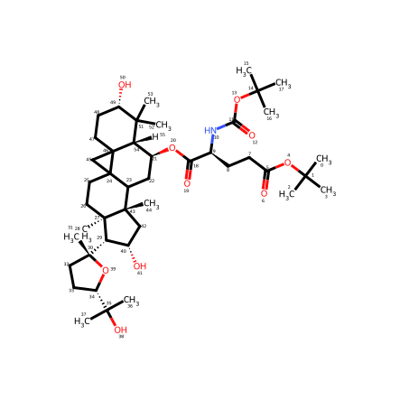 CC(C)(C)OC(=O)CC[C@H](NC(=O)OC(C)(C)C)C(=O)O[C@H]1CC2C3(CC[C@]4(C)[C@@H]([C@@]5(C)CC[C@@H](C(C)(C)O)O5)[C@@H](O)C[C@@]24C)CC32CC[C@H](O)C(C)(C)[C@H]12